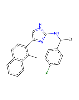 CCC(Nc1nc(-c2ccc3ccccc3c2C)c[nH]1)c1ccc(F)cc1